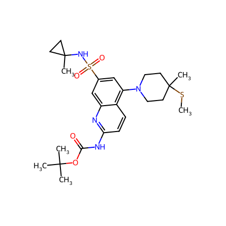 CSC1(C)CCN(c2cc(S(=O)(=O)NC3(C)CC3)cc3nc(NC(=O)OC(C)(C)C)ccc23)CC1